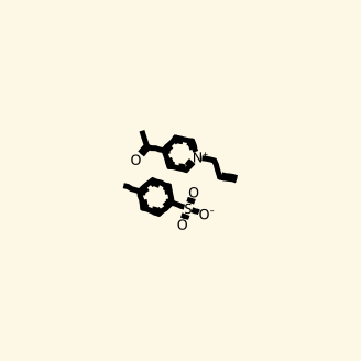 C=CC[n+]1ccc(C(C)=O)cc1.Cc1ccc(S(=O)(=O)[O-])cc1